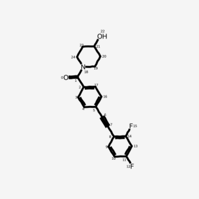 O=C(c1ccc(C#Cc2ccc(F)cc2F)cc1)N1CCC(O)CC1